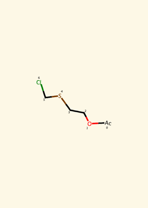 CC(=O)OCCSCCl